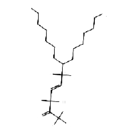 CCCCCCCC(CCCCCCC)C(C)(C)/C=C/C(C)(C)C(=O)C(F)(F)F